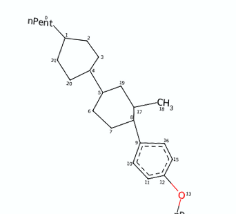 CCCCCC1CCC(C2CCC(c3ccc(OCCCC)cc3)C(C)C2)CC1